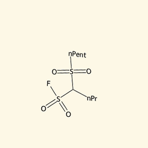 CCCCCS(=O)(=O)C(CCC)S(=O)(=O)F